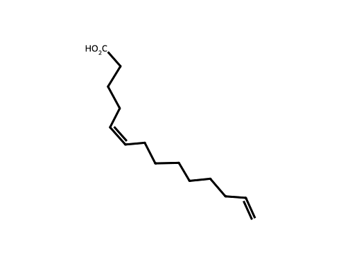 C=CCCCCCC/C=C\CCCC(=O)O